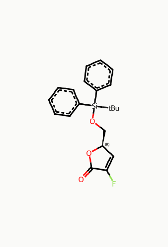 CC(C)(C)[Si](OC[C@H]1C=C(F)C(=O)O1)(c1ccccc1)c1ccccc1